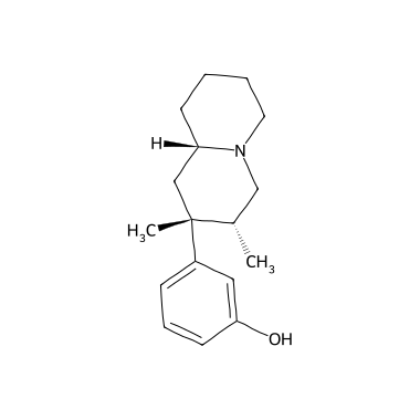 C[C@H]1CN2CCCC[C@H]2C[C@@]1(C)c1cccc(O)c1